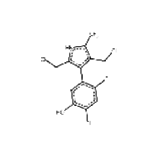 Oc1cc(-c2c(CCl)[nH]c(C(F)(F)F)c2CCl)c(F)cc1Cl